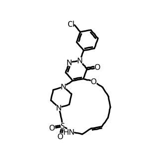 O=c1c2c(cnn1-c1cccc(Cl)c1)N1CCN(CC1)S(=O)(=O)NC/C=C/CCCCO2